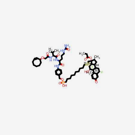 CCC(=O)O[C@]1(C=[SH]CCCCCCCCCCP(=O)(O)OCc2ccc(NC(=O)C(CCCNC(N)=O)NC(=O)[C@@H](NC(=O)COC3C#CCCCCC3)C(C)C)cc2)[C@H](C)C[C@H]2[C@@H]3C[C@H](F)C4=CC(=O)C=C[C@]4(C)[C@@]3(F)[C@@H](O)C[C@@]21C